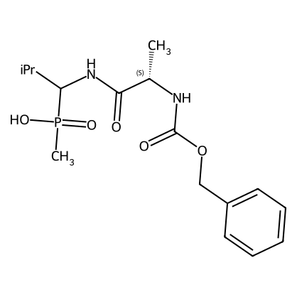 CC(C)C(NC(=O)[C@H](C)NC(=O)OCc1ccccc1)P(C)(=O)O